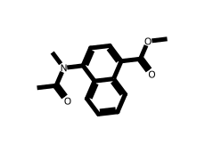 COC(=O)c1ccc(N(C)C(C)=O)c2ccccc12